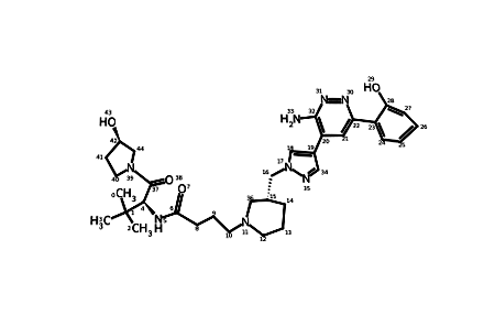 CC(C)(C)[C@H](NC(=O)CCCN1CCC[C@@H](Cn2cc(-c3cc(-c4ccccc4O)nnc3N)cn2)C1)C(=O)N1CC[C@@H](O)C1